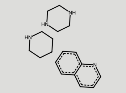 C1CCNCC1.C1CNCCN1.c1ccc2ncccc2c1